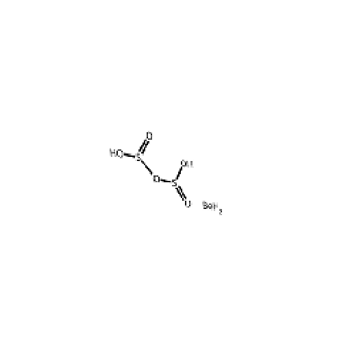 O=S(O)OS(=O)O.[BeH2]